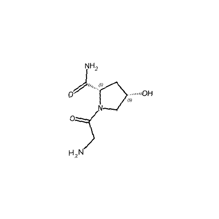 NCC(=O)N1C[C@@H](O)C[C@H]1C(N)=O